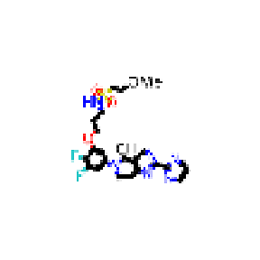 COCCS(=O)(=O)NCCCOc1cc(N2CCc3nc(-c4ncccn4)ncc3C2C)cc(F)c1F